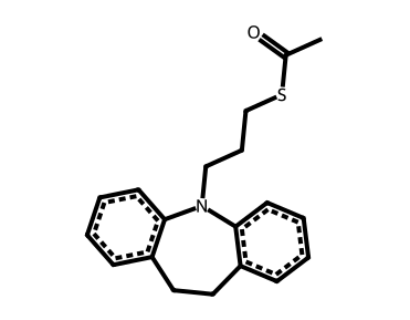 CC(=O)SCCCN1c2ccccc2CCc2ccccc21